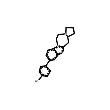 N#Cc1ccc(-c2ccc3c(c2)nc2n3CCN3CCCC3C2)cc1